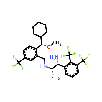 CO[C@H](c1ccc(C(F)(F)F)cc1CN[C@@H](C)[C@H](N)c1cccc(C(F)(F)F)c1C(F)(F)F)C1CCCCC1